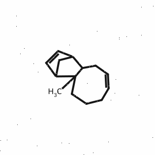 CC12CCCC=CCC1C1C=CC2C1